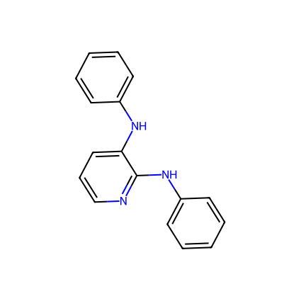 c1ccc(Nc2cccnc2Nc2ccccc2)cc1